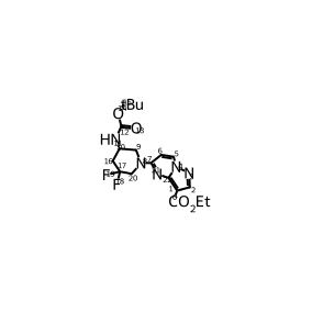 CCOC(=O)c1cnn2ccc(N3C[C@H](NC(=O)OC(C)(C)C)CC(F)(F)C3)nc12